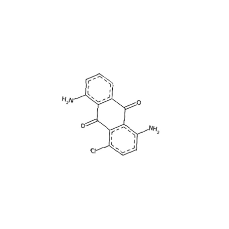 Nc1cccc2c1C(=O)c1c(Cl)ccc(N)c1C2=O